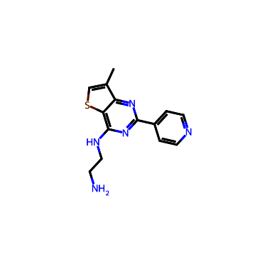 Cc1csc2c(NCCN)nc(-c3ccncc3)nc12